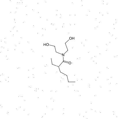 CCCCC(CC)C(=O)N(CCO)CCO